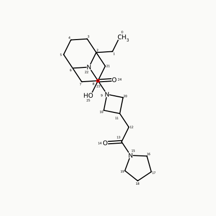 CCC12CCCC(CC(N3CC(CC(=O)N4CCCC4)C3)C1)N2C(=O)O